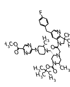 COC(=O)c1cnc(N2CCN(C[C@H]3CN(C(=O)OC(C)(C)C)[C@H](C)CN3CC(=O)N3CC(C)(C)c4ncc(Cc5ccc(F)cc5)cc43)C(C)C2)cn1